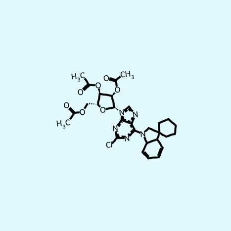 CC(=O)OC[C@H]1O[C@@H](n2cnc3c(N4CC5(CCCCC5)C5C=CC=CC54)nc(Cl)nc32)[C@H](OC(C)=O)[C@@H]1OC(C)=O